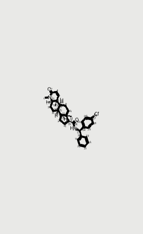 CN1C(=O)C=C[C@]2(C)[C@H]3CC[C@]4(C)[C@@H](C(=O)NC(c5ccccc5)c5ccc(Cl)cc5)CC[C@H]4[C@@H]3CC[C@@H]12